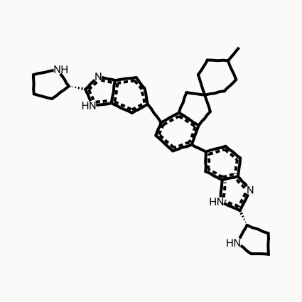 CC1CCC2(CC1)Cc1c(-c3ccc4nc([C@@H]5CCCN5)[nH]c4c3)ccc(-c3ccc4nc([C@@H]5CCCN5)[nH]c4c3)c1C2